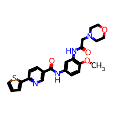 COc1ccc(NC(=O)c2ccc(-c3cccs3)nc2)cc1NC(=O)CN1CCOCC1